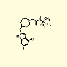 CC(C)(C)NC(=O)CN1CCCN(Cc2nc3c(Cl)cc(F)cc3[nH]2)CC1